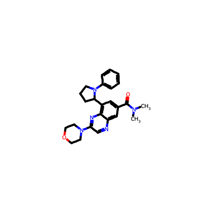 CN(C)C(=O)c1cc(C2CCCN2c2ccccc2)c2nc(N3CCOCC3)cnc2c1